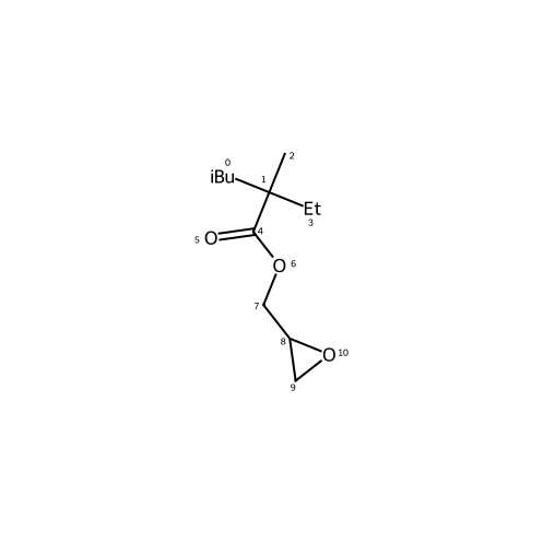 CCC(C)C(C)(CC)C(=O)OCC1CO1